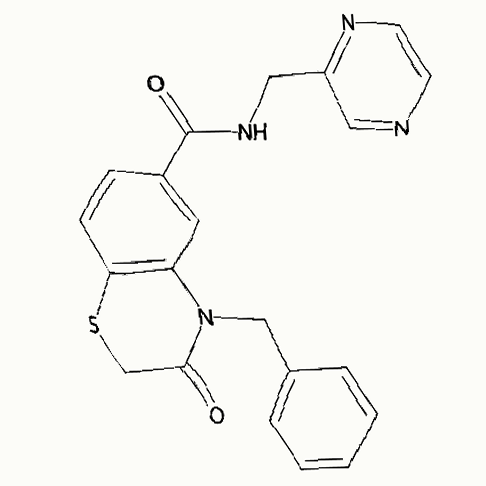 O=C(NCc1cnccn1)c1ccc2c(c1)N(Cc1ccccc1)C(=O)CS2